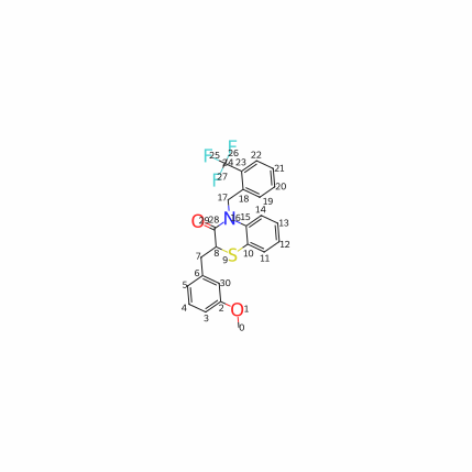 COc1cccc(CC2Sc3ccccc3N(Cc3ccccc3C(F)(F)F)C2=O)c1